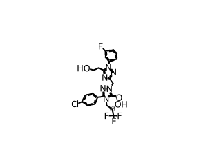 O=c1n(Cc2nc(CCO)n(-c3cccc(F)c3)n2)nc(-c2ccc(Cl)cc2)n1C[C@H](O)C(F)(F)F